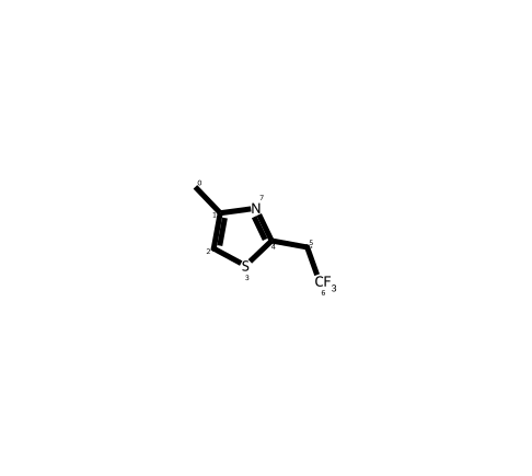 Cc1csc([CH]C(F)(F)F)n1